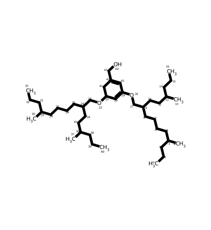 CCCC(C)CCCCC(CCC(C)CCC)COC1=CC(OCC(CCCCC(C)CCC)CCC(C)CCC)CC(CO)=C1